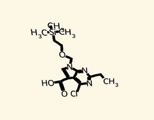 CCc1nc(Cl)c2c(C(=O)O)cn(COCC[Si](C)(C)C)c2n1